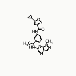 C[C@H](Nc1cnc2cnn(C)c2n1)c1cccc(NC(=O)c2cc(C3CC3)on2)c1